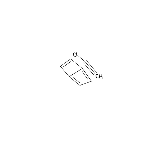 C#CCl.c1cc2ccc1-2